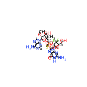 CO[C@H]1[C@H](n2cnc3c(N)ncnc32)OC(C)(COP(O)(=S)O[C@H]2[C@H](n3cnc4c(=O)[nH]c(N)nc43)O[C@H](CO)C2(F)F)[C@H]1O